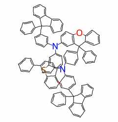 c1ccc(-c2ccc(N(c3ccc(C4(c5ccccc5)c5ccccc5Oc5ccc(N(c6cccc(C7(c8ccccc8)c8ccccc8-c8ccccc87)c6)c6ccc7c(c6)sc6ccccc67)cc54)cc3)c3ccc(C4(c5ccccc5)c5ccccc5-c5ccccc54)cc3)cc2)cc1